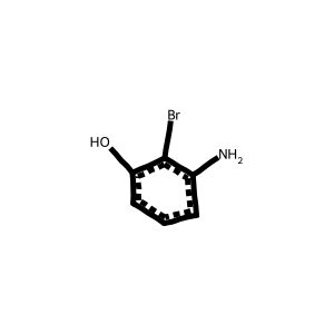 Nc1cccc(O)c1Br